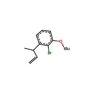 C=C[C](C)c1cccc(OC(C)(C)C)c1Br